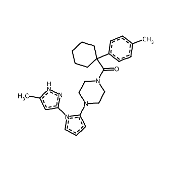 Cc1ccc(C2(C(=O)N3CCN(c4cccn4-c4cc(C)[nH]n4)CC3)CCCCC2)cc1